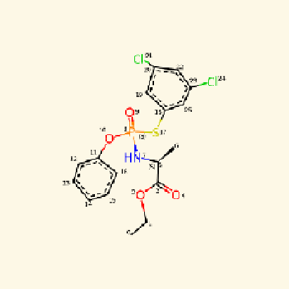 CCOC(=O)[C@H](C)N[P@](=O)(Oc1ccccc1)Sc1cc(Cl)cc(Cl)c1